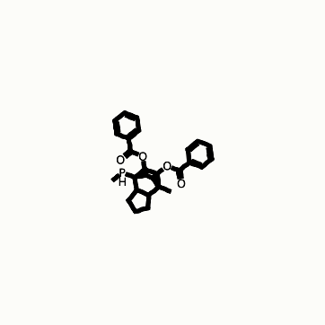 CPC12CCC(C)(C3CCCC31)C(OC(=O)c1ccccc1)C2OC(=O)c1ccccc1